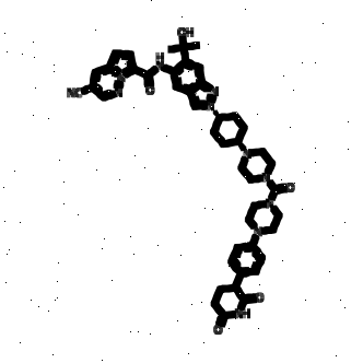 CC(C)(O)c1cc2nn([C@H]3CC[C@H](N4CCN(C(=O)N5CCN(c6ccc(C7CCC(=O)NC7=O)cc6)CC5)CC4)CC3)cc2cc1NC(=O)c1ccc2cc(C#N)cnn12